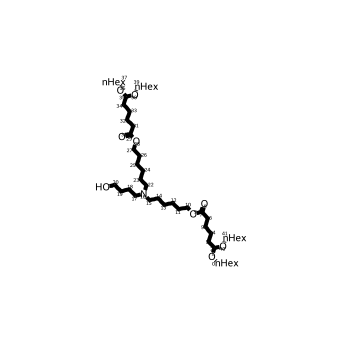 CCCCCCOC(CCCCC(=O)OCCCCCCN(CCCCO)CCCCCCOC(=O)CCCCC(OCCCCCC)OCCCCCC)OCCCCCC